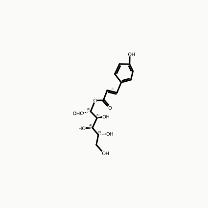 O=C[C@H](OC(=O)/C=C/c1ccc(O)cc1)[C@@H](O)[C@H](O)[C@H](O)CO